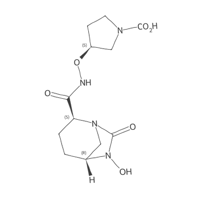 O=C(NO[C@H]1CCN(C(=O)O)C1)[C@@H]1CC[C@@H]2CN1C(=O)N2O